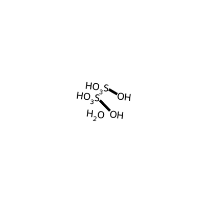 O.O=S(=O)(O)O.O=S(=O)(O)O